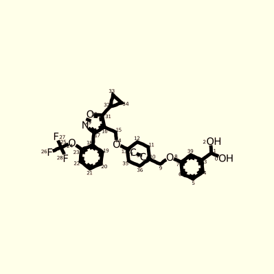 OC(O)c1cccc(OCC23CCC(OCc4c(-c5ccccc5OC(F)(F)F)noc4C4CC4)(CC2)CC3)c1